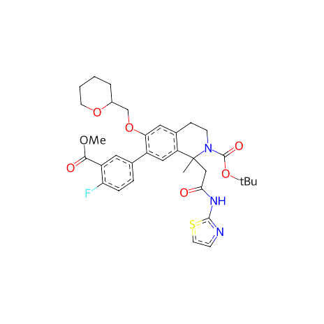 COC(=O)c1cc(-c2cc3c(cc2OCC2CCCCO2)CCN(C(=O)OC(C)(C)C)C3(C)CC(=O)Nc2nccs2)ccc1F